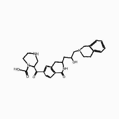 O=C1NC(CC(O)CN2CCc3ccccc3C2)Cc2cc(C(=O)C3CNCCN3C(=O)O)ccc21